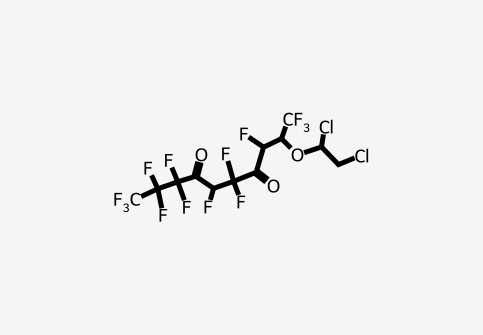 O=C(C(F)C(OC(Cl)CCl)C(F)(F)F)C(F)(F)C(F)C(=O)C(F)(F)C(F)(F)C(F)(F)F